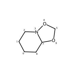 C1CCN2OCOC2C1